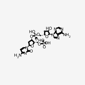 Nc1ccn([C@H]2C[C@H](OP(=O)(O)OC[C@@H]3[CH][C@@H](O)[C@@H](n4cnc5c(N)ncnc54)O3)[C@H](COP(=O)(O)O)O2)c(=O)n1